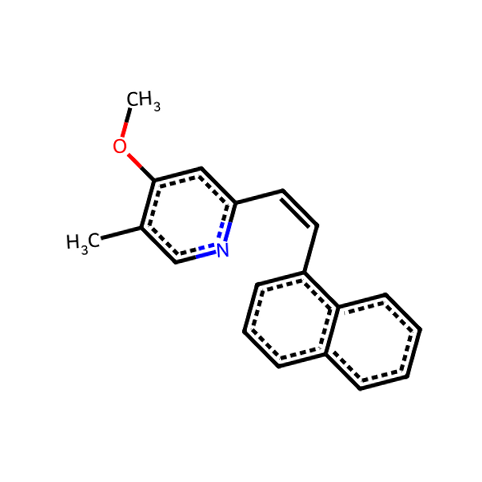 COc1cc(/C=C\c2cccc3ccccc23)ncc1C